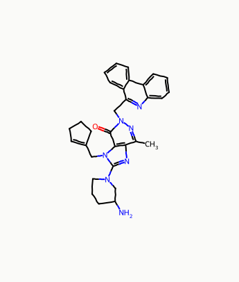 Cc1nn(Cc2nc3ccccc3c3ccccc23)c(=O)c2c1nc(N1CCCC(N)C1)n2CC1=CCCC1